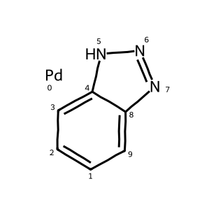 [Pd].c1ccc2[nH]nnc2c1